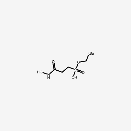 CC(C)(C)COP(=O)(O)CCC(=O)NO